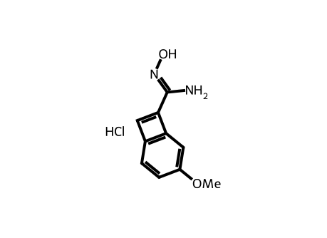 COc1ccc2c(c1)C(C(N)=NO)=C2.Cl